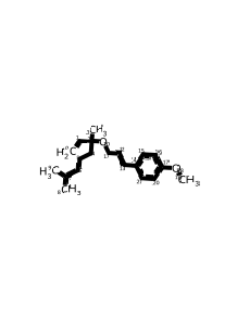 C=CC(C)(CCC=C(C)C)OCC=Cc1ccc(OC)cc1